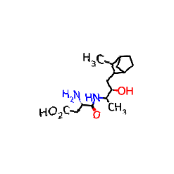 CC1C2CCC(C2)C1C[C@@H](O)[C@@H](C)NC(=O)[C@@H](N)CC(=O)O